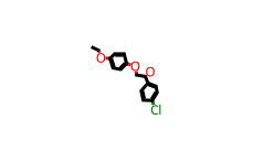 CCOc1ccc(OCC(=O)c2ccc(Cl)cc2)cc1